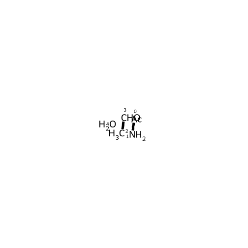 CC(N)=O.CC=O.O